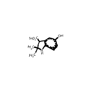 CC1(C)Nc2ccc(O)cc2C1C(=O)O